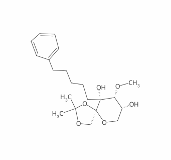 CO[C@@H]1[C@H](O)CO[C@]2(COC(C)(C)O2)[C@@]1(O)CCCCCc1ccccc1